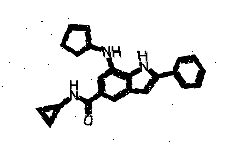 O=C(NC1CC1)c1cc(NC2CCCC2)c2[nH]c(-c3ccccc3)cc2c1